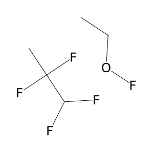 CC(F)(F)C(F)F.CCOF